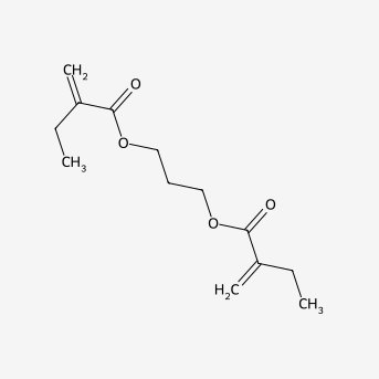 C=C(CC)C(=O)OCCCOC(=O)C(=C)CC